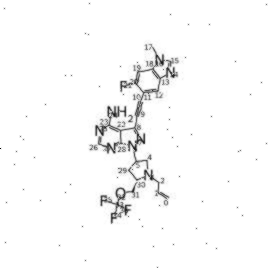 C=CCN1CC(n2nc(C#Cc3cc4ncn(C)c4cc3F)c3c(N)ncnc32)C[C@@H]1COC(F)(F)F